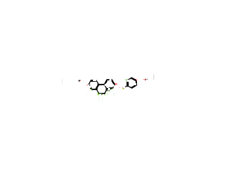 CCOc1ccc([C@@](C)(F)Oc2ccc3c(c2F)C(F)(F)C(F)(F)c2c-3ccc(OCC)c2F)c(F)c1